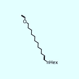 C=COCCCCCCCCCCC=CCCCCCC